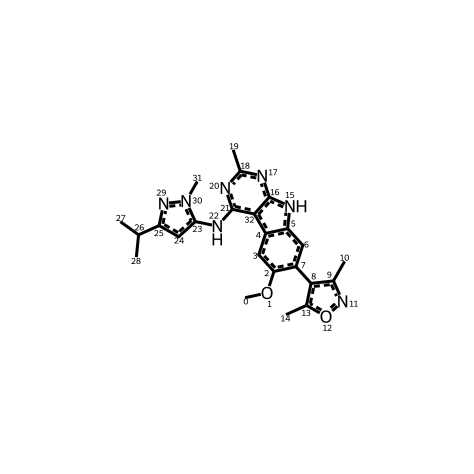 COc1cc2c(cc1-c1c(C)noc1C)[nH]c1nc(C)nc(Nc3cc(C(C)C)nn3C)c12